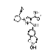 N#CC1CCCC1n1cc(C(N)=O)c(Nc2ccc3c(c2)C=CB(O)O3)n1